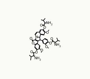 COc1cc(C2c3c(c(=O)oc4cc(OC(=O)[C@@H](N)C(C)C)c(OC)cc34)N3C=Cc4cc(OC(=O)[C@@H](N)C(C)C)c(OC)cc4C23)ccc1OC(=O)[C@@H](N)C(C)C